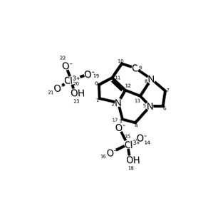 C1CN2CCN3CCN4CCC1=C2C43.[O-][Cl+3]([O-])([O-])O.[O-][Cl+3]([O-])([O-])O